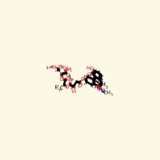 CC[C@]12c3c4ccc(O)c3O[C@H]1C(OC(=O)C[C@H](O)C(=O)O[C@@H](C)C(=O)O[C@H](CC(=O)O)C(=O)O)=CC[C@@]2(O)[C@H](NC)C4